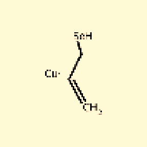 C=CC[SeH].[Cu]